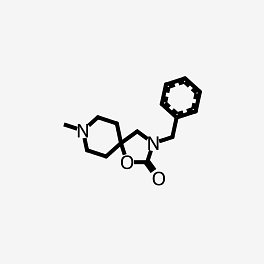 CN1CCC2(CC1)CN(Cc1ccccc1)C(=O)O2